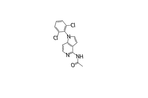 CC(=O)Nc1nccc2c1ccn2-c1c(Cl)cccc1Cl